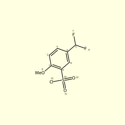 COc1ccc(C(F)F)cc1S(=O)(=O)Cl